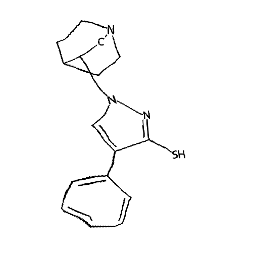 Sc1nn(C2CN3CCC2CC3)cc1-c1ccccc1